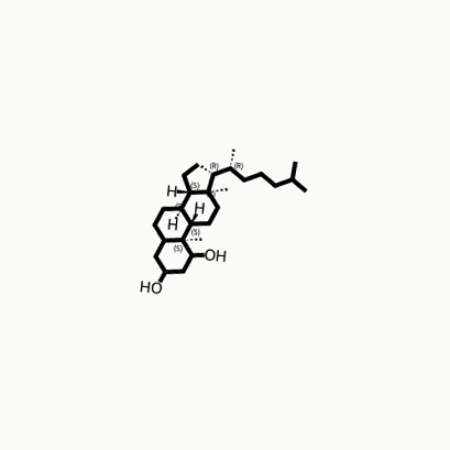 CC(C)CCC[C@@H](C)[C@H]1CC[C@H]2[C@@H]3CCC4CC(O)CC(O)[C@]4(C)[C@H]3CC[C@]12C